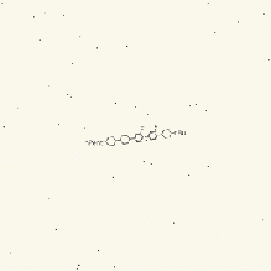 CCCCCC1CCC(C2CCC(c3ccc(-c4ccc(C5CCC(CCCC)CC5)c(F)c4)c(F)c3)CC2)CC1